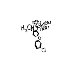 CCC[CH2][Sn]([CH2]CCC)([CH2]CCC)[c]1nn(C)c2ccc(Oc3cccc(Cl)c3)cc12